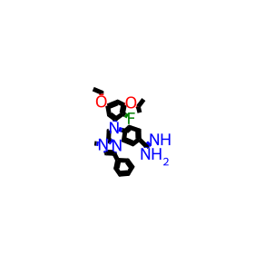 CCOc1cc(OC(C)C)c(F)c(N(Cc2nc(-c3ccccc3)cn2C)c2ccc(C(=N)N)cc2)c1